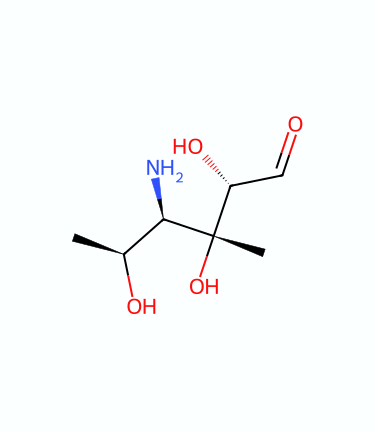 C[C@H](O)[C@@H](N)[C@@](C)(O)[C@H](O)C=O